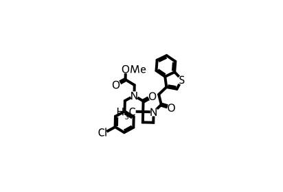 COC(=O)CN(Cc1cccc(Cl)c1)C(=O)C1(C)CCN1C(=O)Cc1csc2ccccc12